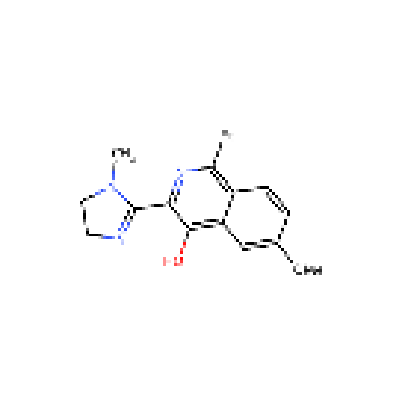 CCc1nc(C2=NCCN2C)c(O)c2cc(OC)ccc12